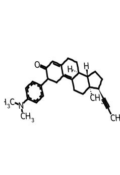 CC#C[C@@H]1CC[C@H]2[C@@H]3CCC4=CC(=O)C(c5ccc(N(C)C)cc5)CC4=C3CC[C@]12C